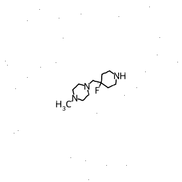 CN1CCN(CC2(F)CCNCC2)CC1